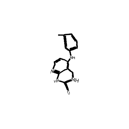 Cc1cccc(Nc2ccnc3c2CNC(=O)N3)c1